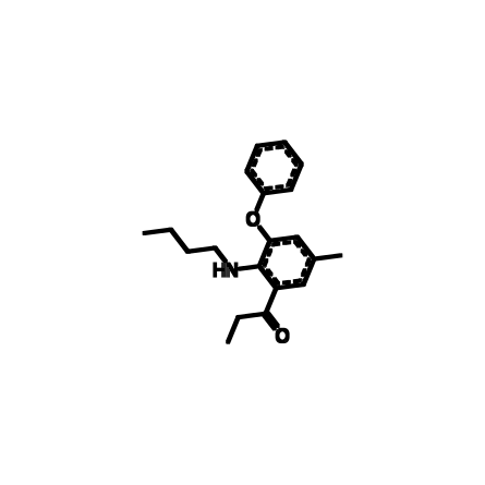 CCCCNc1c(Oc2ccccc2)cc(C)cc1C(=O)CC